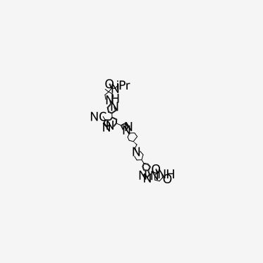 CC(C)NC(=O)C1(C)CCN(c2ccc(-c3cc(-c4cnn([C@H]5CC[C@H](CCN6CCC(c7ccc8c(N9CCC(=O)NC9=O)nn(C)c8c7)CC6)CC5)c4)cn4ncc(C#N)c34)cn2)CC1